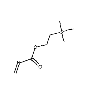 C=NC(=O)OCCS(C)(C)C